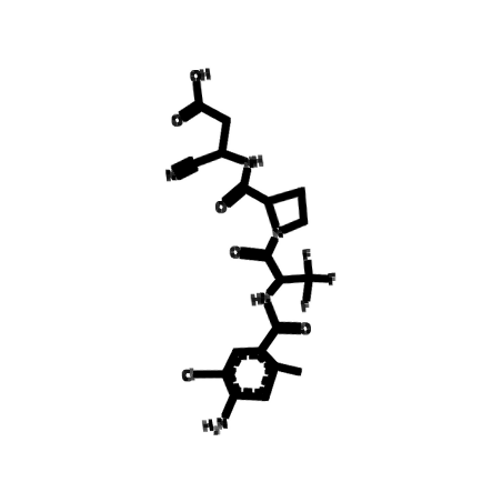 Cc1cc(N)c(Cl)cc1C(=O)NC(C(=O)N1CCC1C(=O)NC(C#N)CC(=O)O)C(F)(F)F